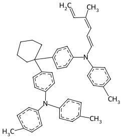 C=C/C(C)=C\C=C\N(c1ccc(C)cc1)c1ccc(C2(c3ccc(N(c4ccc(C)cc4)c4ccc(C)cc4)cc3)CCCCC2)cc1